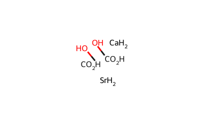 O=C(O)O.O=C(O)O.[CaH2].[SrH2]